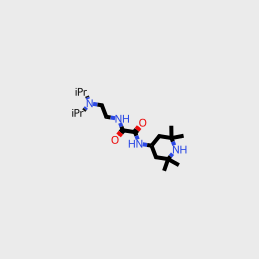 CC(C)N(CCNC(=O)C(=O)NC1CC(C)(C)NC(C)(C)C1)C(C)C